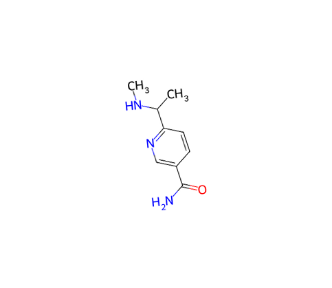 CNC(C)c1ccc(C(N)=O)cn1